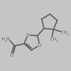 CC1(C)CCCC1C1OC=C(C(N)=O)O1